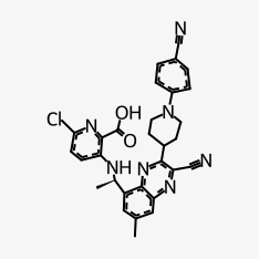 Cc1cc([C@@H](C)Nc2ccc(Cl)nc2C(=O)O)c2nc(C3CCN(c4ccc(C#N)cc4)CC3)c(C#N)nc2c1